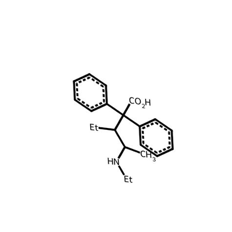 CCNC(C)C(CC)C(C(=O)O)(c1ccccc1)c1ccccc1